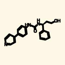 O=C(Nc1ccc(-c2ccncc2)cc1)N[C@@H](CCO)c1ccccc1